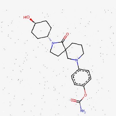 NC(=O)Oc1ccc(N2CCCC3(CCN([C@H]4CC[C@H](O)CC4)C3=O)C2)cc1